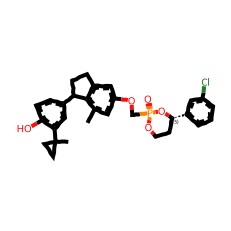 Cc1cc(OCP2(=O)OCC[C@@H](c3cccc(Cl)c3)O2)cc2c1C(c1ccc(O)c(C3(C)CC3)c1)CC2